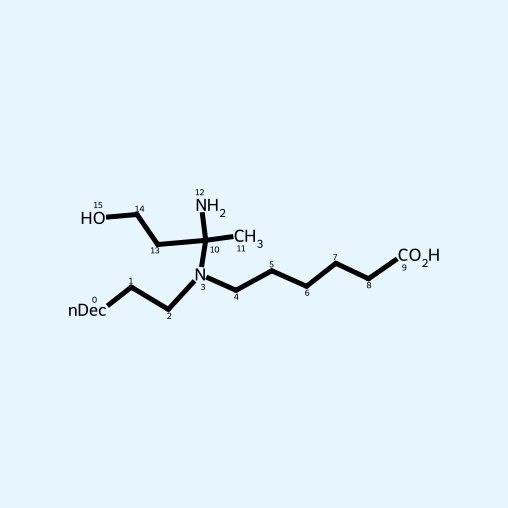 CCCCCCCCCCCCN(CCCCCC(=O)O)C(C)(N)CCO